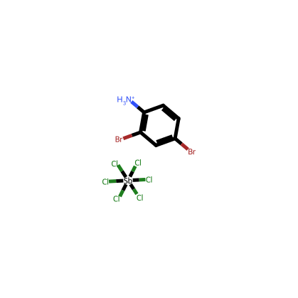 [Cl][Sb-]([Cl])([Cl])([Cl])([Cl])[Cl].[NH3+]c1ccc(Br)cc1Br